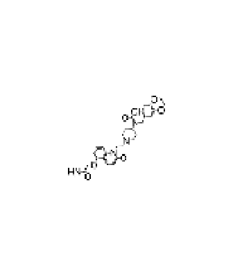 CNC(=O)COc1cccc2c1ccc(=O)n2CCN1CCC(N(Cc2ccc3c(c2)OCCO3)C(=O)O)CC1